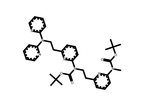 CN(C(=O)OC(C)(C)C)c1cccc(CCN(C(=O)OC(C)(C)C)c2cccc(CCN(c3ccccn3)c3ccccn3)n2)n1